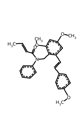 CC=CC(=O)N(Cc1c(/C=C/c2ccc(OC)cc2)cc(OC)cc1OC)c1ccccc1